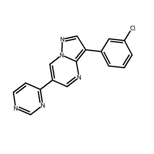 Clc1cccc(-c2cnn3cc(-c4ccncn4)cnc23)c1